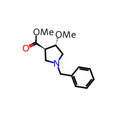 COC(=O)[C@@H]1CN(Cc2ccccc2)C[C@H]1OC